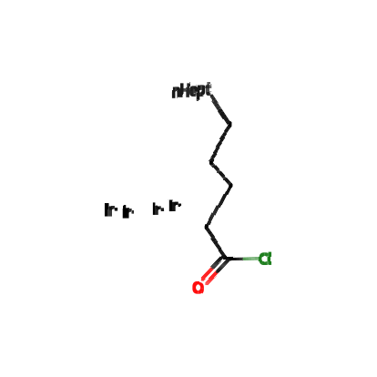 CCCCCCCCCCCC(=O)Cl.[Ir].[Ir].[Ir].[Ir]